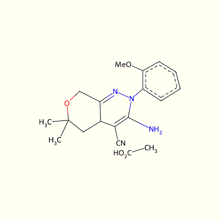 CC(=O)O.COc1ccccc1N1N=C2COC(C)(C)CC2C(C#N)=C1N